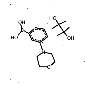 CC(C)(O)C(C)(C)O.OB(O)c1cccc(N2CCOCC2)c1